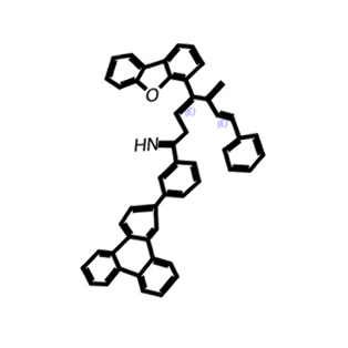 C=C(/C=C/c1ccccc1)/C(=C\CC(=N)c1cccc(-c2ccc3c4ccccc4c4ccccc4c3c2)c1)c1cccc2c1oc1ccccc12